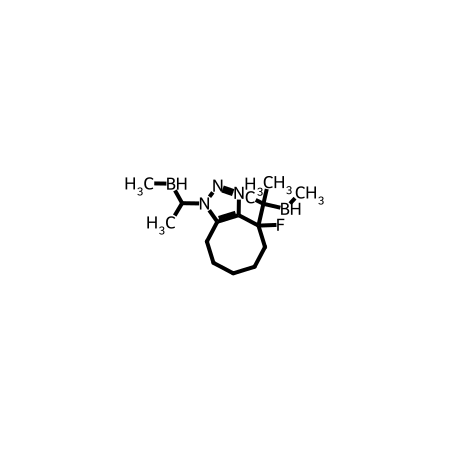 CBC(C)n1nnc2c1CCCCCC2(F)C(C)(C)BC